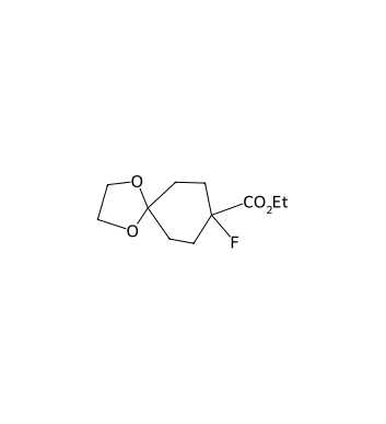 CCOC(=O)C1(F)CCC2(CC1)OCCO2